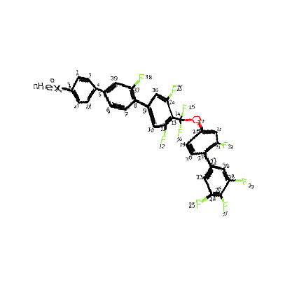 CCCCCCc1ccc(-c2ccc(-c3cc(F)c(C(F)(F)Oc4ccc(-c5cc(F)c(F)c(F)c5)c(F)c4)c(F)c3)c(F)c2)cc1